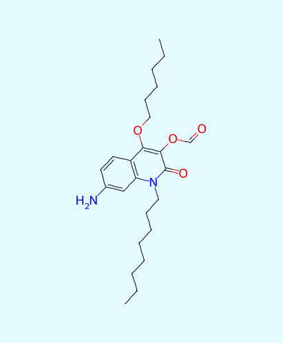 CCCCCCCCn1c(=O)c(OC=O)c(OCCCCCC)c2ccc(N)cc21